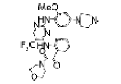 COc1cc(N2CCN(C)CC2)ccc1Nc1ncc(C(F)(F)F)c(Nc2ccccc2C(=O)C(=O)N2CCOCC2)n1